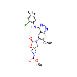 COc1cc2ncnc(Nc3ccc(C)cc3F)c2cc1N1CC2(CN(C(=O)OC(C)(C)C)C2)OC1=O